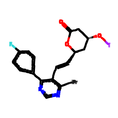 CC(C)c1ncnc(-c2ccc(F)cc2)c1/C=C/[C@@H]1C[C@@H](OI)CC(=O)O1